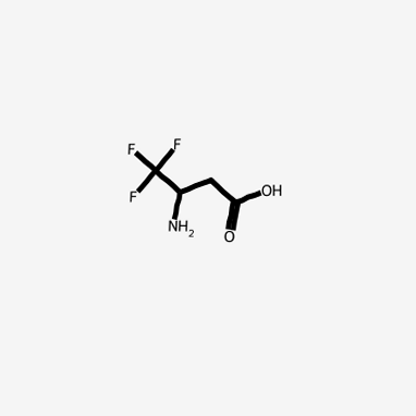 NC(CC(=O)O)C(F)(F)F